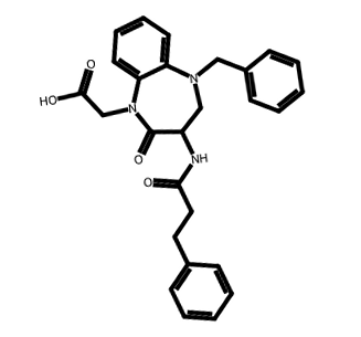 O=C(O)CN1C(=O)C(NC(=O)CCc2ccccc2)CN(Cc2ccccc2)c2ccccc21